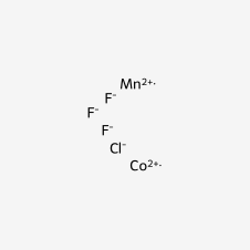 [Cl-].[Co+2].[F-].[F-].[F-].[Mn+2]